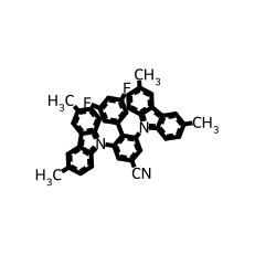 Cc1ccc2c(c1)c1cc(C)ccc1n2-c1cc(C#N)cc(-n2c3ccc(C)cc3c3cc(C)ccc32)c1-c1cc(F)cc(F)c1